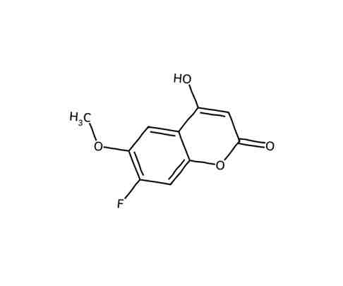 COc1cc2c(O)cc(=O)oc2cc1F